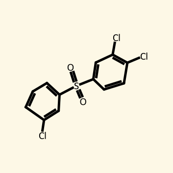 O=S(=O)(c1cccc(Cl)c1)c1ccc(Cl)c(Cl)c1